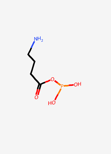 NCCCC(=O)OP(O)O